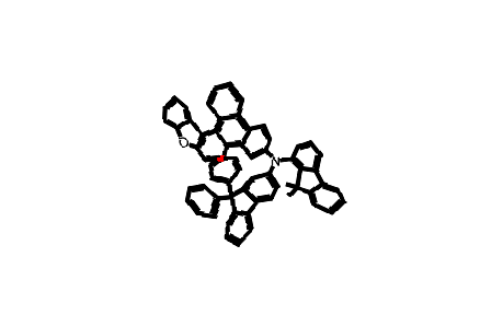 CC1(C)c2ccccc2-c2cccc(N(c3ccc4c(c3)C(c3ccccc3)(c3ccccc3)c3ccccc3-4)c3ccc4c5ccccc5c5c(ccc6oc7ccccc7c65)c4c3)c21